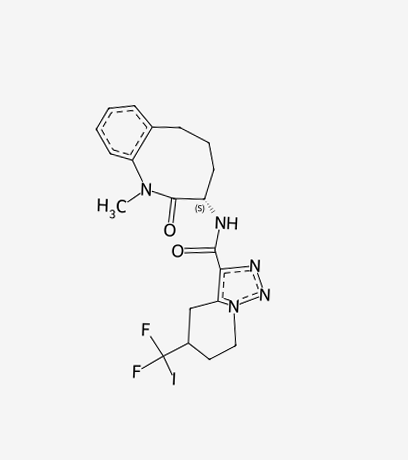 CN1C(=O)[C@@H](NC(=O)c2nnn3c2CC(C(F)(F)I)CC3)CCCc2ccccc21